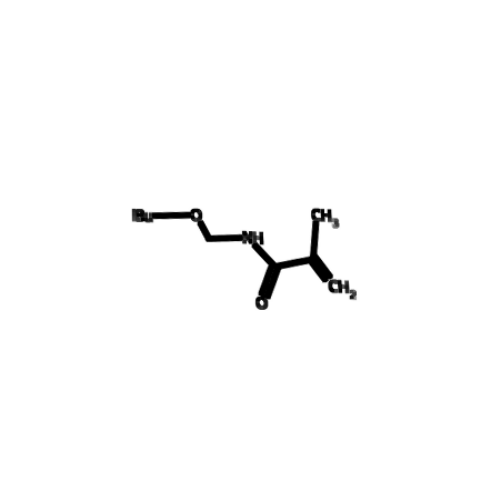 C=C(C)C(=O)NCOC(C)CC